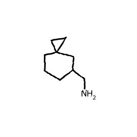 NCC1CCCC2(CC2)C1